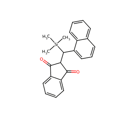 C[Si](C)(C)C(c1cccc2ccccc12)C1C(=O)c2ccccc2C1=O